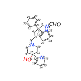 O=CNCC(CCCN1CCC(O)(c2ccccn2)CC1)(c1ccccc1)c1ccccc1